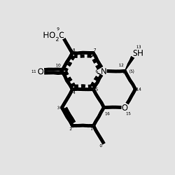 CC1C=Cc2c3n(cc(C(=O)O)c2=O)[C@@H](S)COC31